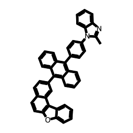 Cc1nc2ccccc2n1-c1ccc(-c2c3ccccc3c(-c3ccc4ccc5oc6ccccc6c5c4c3)c3ccccc23)cc1